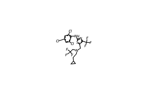 FC(F)(F)CN(CCC1CC1)Cc1sc(Nc2c(Cl)cc(Cl)cc2Cl)nc1C(F)(F)F